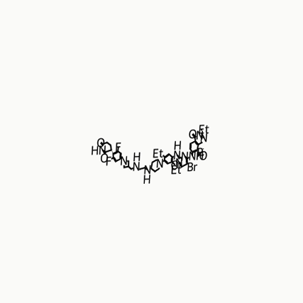 CCOc1cc(N2CCC(NCCNCC3CN(c4cc(F)c([C@H]5CCC(=O)NC5=O)c(F)c4)C3)CC2)c(CC)cc1Nc1ncc(Br)c(Nc2ccc3c(=O)n(CC)ncc3c2P(C)(C)=O)n1